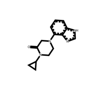 O=C1CN(c2cccc3[nH]cnc23)CCN1C1CC1